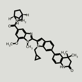 COc1cc(C(=O)N2C[C@H]3CC[C@@H]2[C@@H]3N)cc2nc(-c3cc4ccc(-c5ccc6c(c5)C(C)(C)CC(=O)N6)cc4n3CC3CC3)n(C)c12